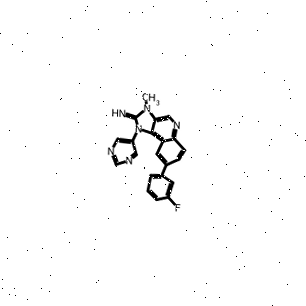 Cn1c(=N)n(-c2cncnc2)c2c3cc(-c4cccc(F)c4)ccc3ncc21